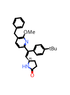 COc1nc(C(=C[C@H]2CCC(=O)N2)c2ccc(C(C)(C)C)cc2)ccc1Cc1ccccc1